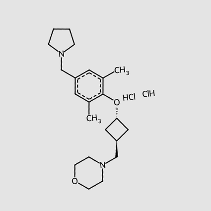 Cc1cc(CN2CCCC2)cc(C)c1O[C@H]1C[C@H](CN2CCOCC2)C1.Cl.Cl